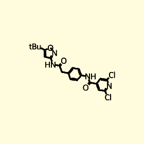 CC(C)(C)c1cc(NC(=O)Cc2ccc(NC(=O)c3cc(Cl)nc(Cl)c3)cc2)no1